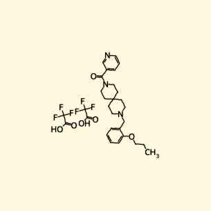 CCCOc1ccccc1CN1CCC2(CC1)CCN(C(=O)c1cccnc1)CC2.O=C(O)C(F)(F)F.O=C(O)C(F)(F)F